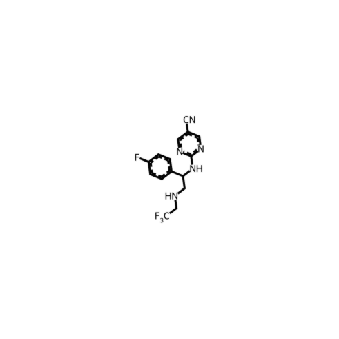 N#Cc1cnc(NC(CNCC(F)(F)F)c2ccc(F)cc2)nc1